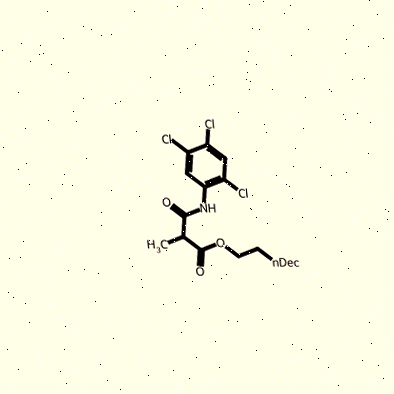 CCCCCCCCCCCCOC(=O)C(C)C(=O)Nc1cc(Cl)c(Cl)cc1Cl